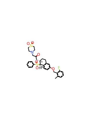 CCC[C@@]1(S(=O)(=O)c2ccccc2)c2ccc(OCc3c(C)cccc3F)cc2CC[C@H]1CC(=O)CN1CCS(=O)(=O)CC1